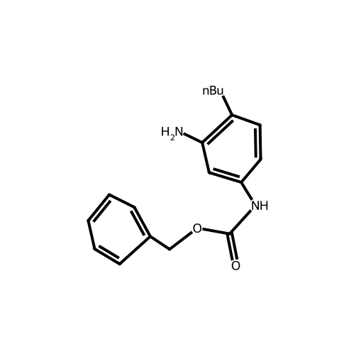 CCCCc1ccc(NC(=O)OCc2ccccc2)cc1N